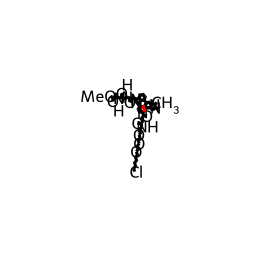 COC(=O)CNC(=O)CNC(=O)Cn1nc(C2CCN(C(=O)CCC(=O)NCCOCCOCCOCCCCCCCl)CC2)c2c(-c3cc4c(cnn4C)cc3F)cccc21